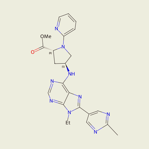 CCn1c(-c2cnc(C)nc2)nc2c(N[C@H]3C[C@H](C(=O)OC)N(c4ccccn4)C3)ncnc21